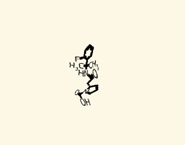 CC(C)(NC(=O)C[C@H]1CCCN1C(=O)O)c1ccccc1F